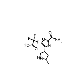 C[C@@H]1C[C@@H](c2coc(C(N)=O)n2)CN1.O=C(O)C(F)(F)F